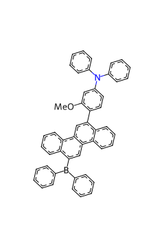 COc1cc(N(c2ccccc2)c2ccccc2)ccc1-c1cc2c3ccccc3c(B(c3ccccc3)c3ccccc3)cc2c2ccccc12